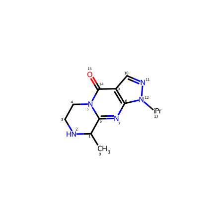 CC1NCCn2c1nc1c(cnn1C(C)C)c2=O